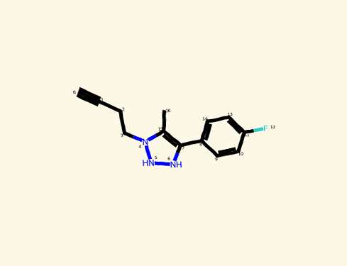 C#CCCN1NNC(c2ccc(F)cc2)=C1C